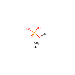 BOP(=O)(O)O.[AlH3].[Nb]